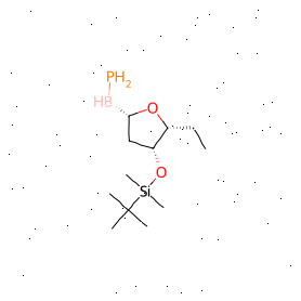 CC[C@H]1O[C@@H](BP)C[C@H]1O[Si](C)(C)C(C)(C)C